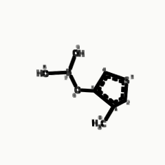 Cc1cscc1OB(O)O